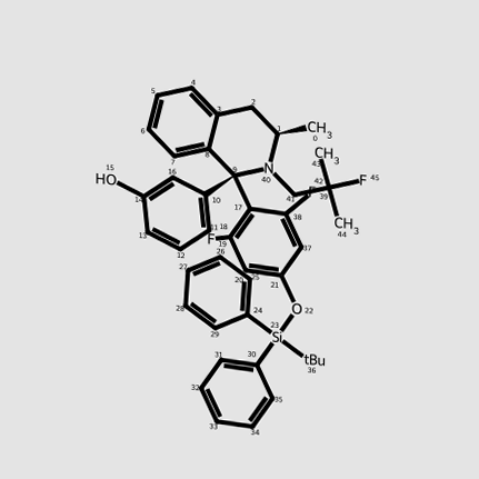 C[C@@H]1Cc2ccccc2[C@@](c2cccc(O)c2)(c2c(F)cc(O[Si](c3ccccc3)(c3ccccc3)C(C)(C)C)cc2F)N1CC(C)(C)F